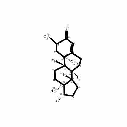 CC[C@H]1CC[C@H]2[C@@H]3CCC4=CC(=O)C([N+](=O)[O-])C[C@]4(C)[C@H]3CC[C@]12C